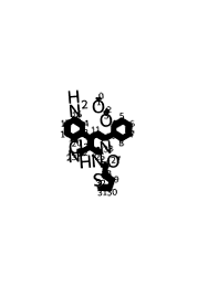 COCOc1ccccc1-c1cc(-c2cc(N)ccc2Cl)c(C#N)c(NC(=O)c2cccs2)n1